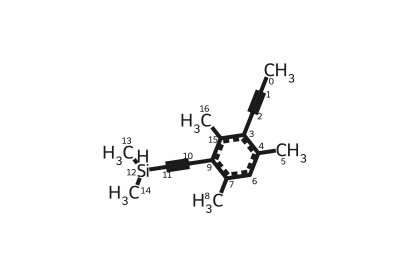 CC#Cc1c(C)cc(C)c(C#C[SiH](C)C)c1C